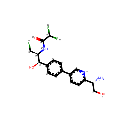 N[C@H](CO)c1ccc(-c2ccc([C@@H](O)[C@@H](CF)NC(=O)C(F)F)cc2)cn1